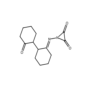 O=C1CCCCC1C1CCCCC1=Nn1c(=O)c1=O